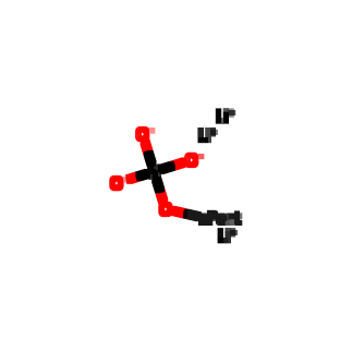 CCCCCO[Si]([O-])([O-])[O-].[Li+].[Li+].[Li+]